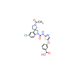 CC(=O)N1CCC2(C1)CN(C(=O)Nc1ncc(Oc3cccc(C(=O)O)c3)s1)c1ccc(Cl)cc12